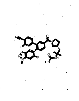 Cn1nnc2cc(-c3ccc(C(=O)N4CC[C@@H](CC(C)(C)NC(=O)O)C4)cc3-c3ccc(C#N)c(F)c3)c(F)cc21